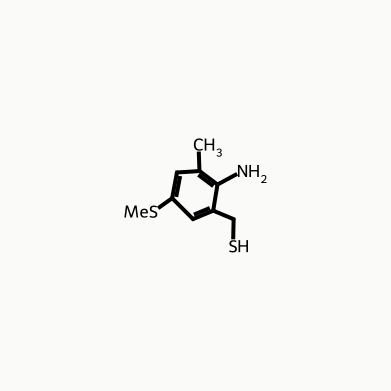 CSc1cc(C)c(N)c(CS)c1